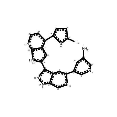 Nc1cncc(-c2cc3c(-c4cc5c(-c6ccc(F)s6)ccnc5[nH]4)n[nH]c3cn2)c1